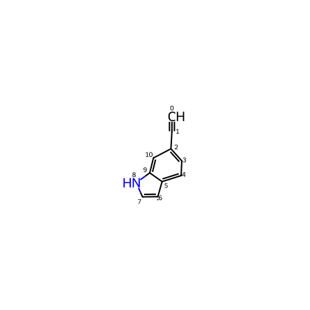 C#Cc1ccc2[c]c[nH]c2c1